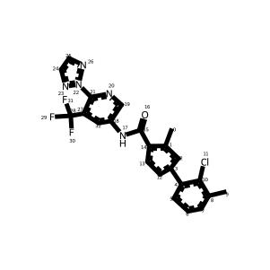 Cc1cc(-c2cccc(C)c2Cl)ccc1C(=O)Nc1cnc(-n2nccn2)c(C(F)(F)F)c1